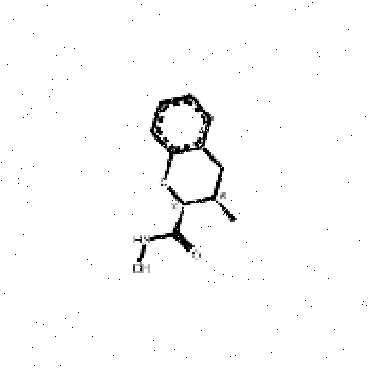 C[C@@H]1Cc2ccccc2O[C@@H]1C(=O)NO